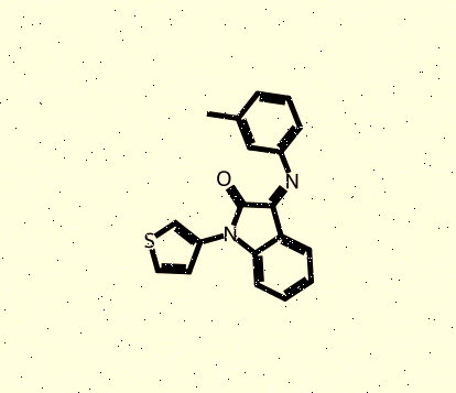 Cc1cccc(N=C2C(=O)N(c3ccsc3)c3ccccc32)c1